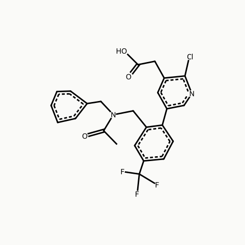 CC(=O)N(Cc1ccccc1)Cc1cc(C(F)(F)F)ccc1-c1cnc(Cl)c(CC(=O)O)c1